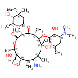 CC[C@H]1OC(=O)[C@H](C)[C@@H](O[C@H]2C[C@@](C)(OC)[C@@H](O)[C@H](C)O2)[C@H](C)[C@@H](O[C@@H]2O[C@H](C)C[C@H](N(C)C)[C@H]2O)[C@](C)(O)C[C@@H](C)[C@H](N)[C@H](C)[C@@H](O)[C@]1(C)O